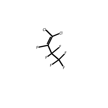 FC(=C(Cl)Cl)C(F)(F)C(F)(F)F